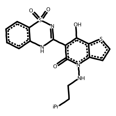 CC(C)CCNn1c(=O)c(C2=NS(=O)(=O)c3ccccc3N2)c(O)c2sccc21